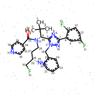 CC(C)(C)[C@H](c1nc(-c2cc(F)ccc2F)nn1Cc1ccccc1)N(CC[C@H](N)CF)C(=O)c1ccncc1